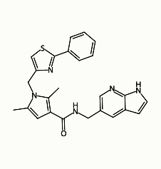 Cc1cc(C(=O)NCc2cnc3[nH]ccc3c2)c(C)n1Cc1csc(-c2ccccc2)n1